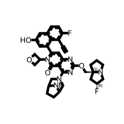 C#Cc1c(F)ccc2cc(O)cc(-c3cc4nc(OC[C@@]56CCCN5C[C@H](F)C6)nc(N5CC6CCC(C5)N6)c4c(=O)n3C3COC3)c12